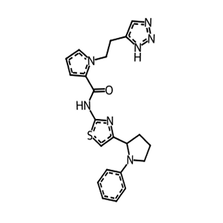 O=C(Nc1nc(C2CCCN2c2ccccc2)cs1)c1cccn1CCc1cnn[nH]1